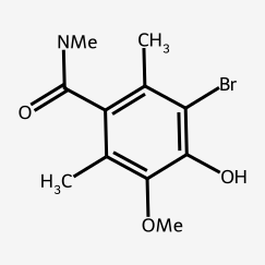 CNC(=O)c1c(C)c(Br)c(O)c(OC)c1C